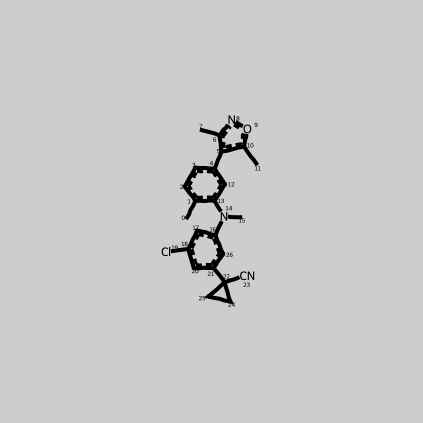 Cc1ccc(-c2c(C)noc2C)cc1N(C)c1cc(Cl)cc(C2(C#N)CC2)c1